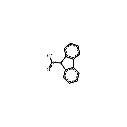 O=[N+]([O-])C1c2ccccc2-c2ccccc21